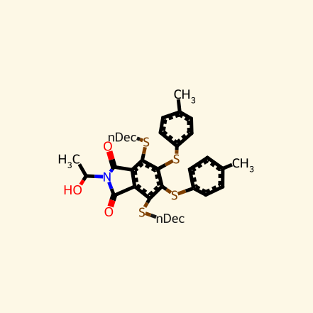 CCCCCCCCCCSc1c(Sc2ccc(C)cc2)c(Sc2ccc(C)cc2)c(SCCCCCCCCCC)c2c1C(=O)N(C(C)O)C2=O